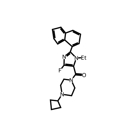 CCn1c(-c2cccc3ccccc23)nc(F)c1C(=O)N1CCN(C2CCC2)CC1